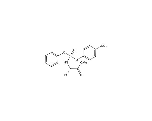 COC(=O)[C@@H](NP(=O)(Oc1ccccc1)Oc1ccc([N+](=O)[O-])cc1)C(C)C